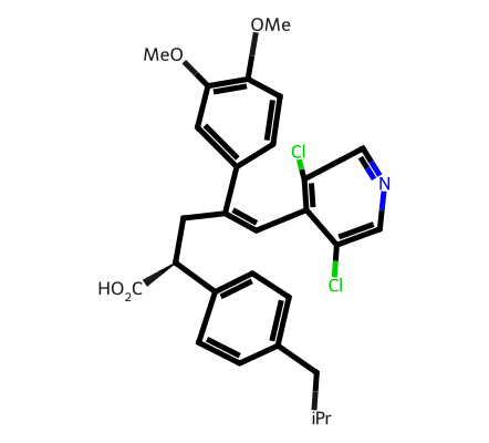 COc1ccc(/C(=C\c2c(Cl)cncc2Cl)C[C@H](C(=O)O)c2ccc(CC(C)C)cc2)cc1OC